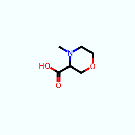 CN1CCOCC1C(=O)O